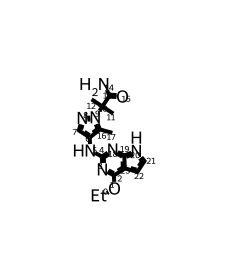 CCOc1nc(Nc2cnn(C(C)(C)C(N)=O)c2C)nc2[nH]ccc12